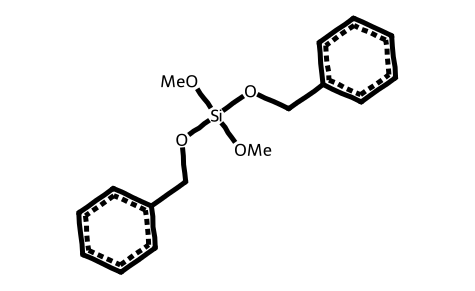 CO[Si](OC)(OCc1ccccc1)OCc1ccccc1